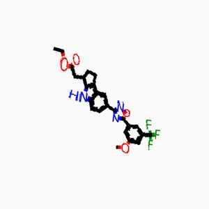 CCOC(=O)CC1CCc2c1[nH]c1ccc(-c3noc(-c4cc(OC)cc(C(F)(F)F)c4)n3)cc21